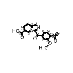 COc1cc(C(=O)c2ncc3ccc(C(=O)O)cn23)ccc1[N+](=O)[O-]